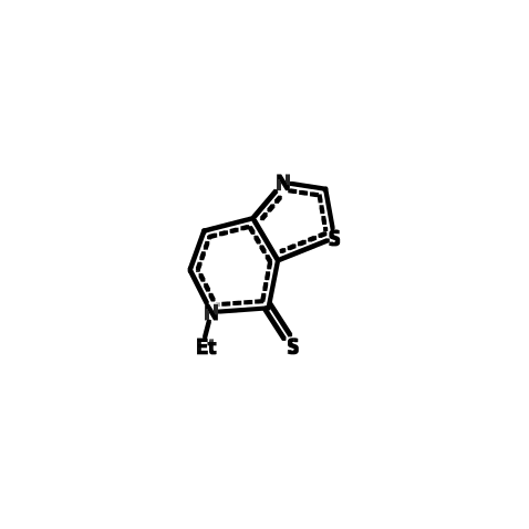 CCn1ccc2ncsc2c1=S